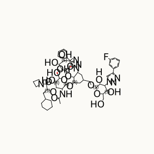 CC(=O)NC1C(O[C@@H](CC2CCCCC2)C(=O)N2CCC2)[C@@H](O)C(CO)O[C@H]1O[C@@H]1CC(CO[C@H]2OC(CO)[C@@H](O)C(n3cc(-c4cccc(F)c4)nn3)C2O)CC(n2cc(-c3ccccc3)nn2)C1O[C@@H]1OC(C)[C@@H](O)C(O)C1O